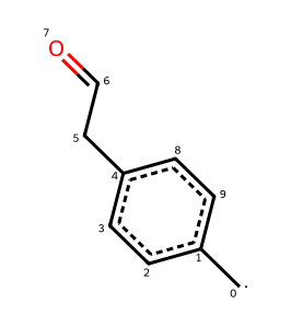 [CH2]c1ccc(CC=O)cc1